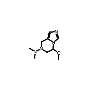 COC1CN(N(C)C)Cc2cncn21